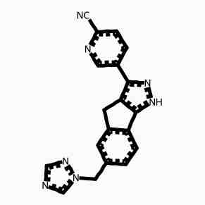 N#Cc1ccc(-c2n[nH]c3c2Cc2cc(Cn4cncn4)ccc2-3)cn1